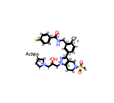 CC(=O)N[C@@H]1CCN(CC(O)Cn2nc(-c3ccc(C(F)(F)F)c(CNC(=O)c4ccc(F)cc4)c3)c3c2CCN(S(C)(=O)=O)C3)C1